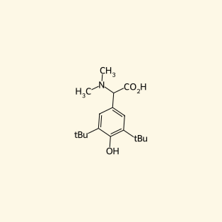 CN(C)C(C(=O)O)c1cc(C(C)(C)C)c(O)c(C(C)(C)C)c1